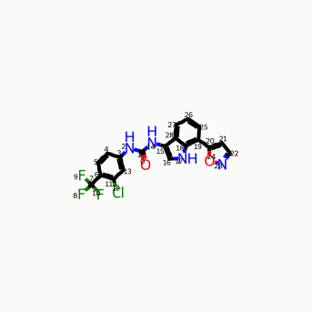 O=C(Nc1ccc(C(F)(F)F)c(Cl)c1)Nc1c[nH]c2c(-c3ccno3)cccc12